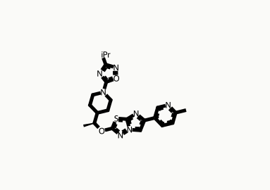 Cc1ccc(-c2cn3nc(O[C@@H](C)C4CCN(c5nc(C(C)C)no5)CC4)sc3n2)cn1